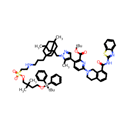 Cc1c(-c2ccc(N3CCc4cccc(C(=O)Nc5nc6ccccc6s5)c4C3)nc2C(=O)OC(C)(C)C)cnn1CC12CC3(C)CC(C)(CC(CCCNCCS(=O)(=O)OCC(C)(C)CCO[Si](c4ccccc4)(c4ccccc4)C(C)(C)C)(C3)C1)C2